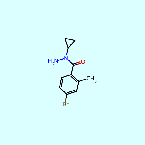 Cc1cc(Br)ccc1C(=O)N(N)C1CC1